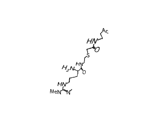 C/N=C(/NC)NCCCC(N)C(=O)NCCSCC(=O)NCCC(C)=O